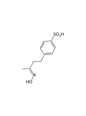 CC(CCc1ccc(S(=O)(=O)O)cc1)=NO